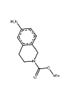 CCCCOC(=O)N1CCc2cc(N)ccc2C1